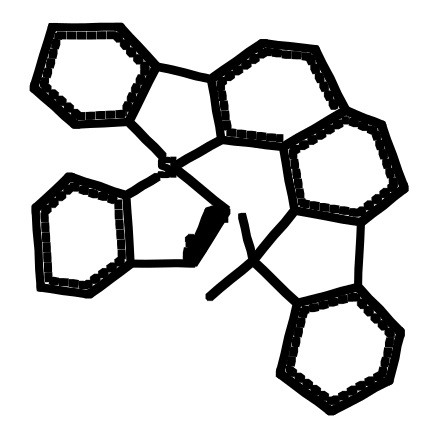 CC1(C)c2ccccc2-c2ccc3ccc4c(c3c21)[Si]1(c2ccccc2-c2ccccc21)c1ccccc1-4